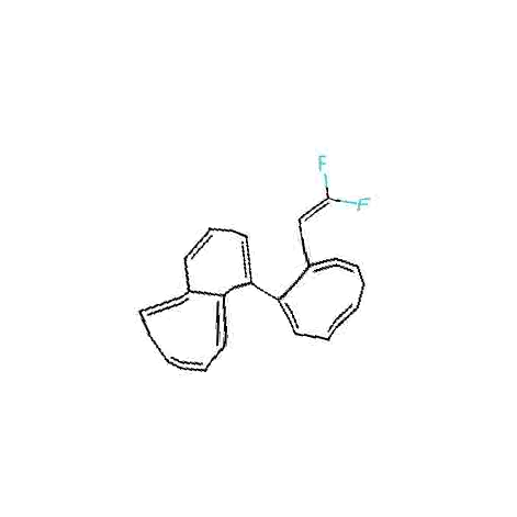 FC(F)=Cc1ccccc1-c1cccc2ccccc12